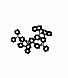 c1ccc(-c2c3ccccc3cc3c4c(-c5cccc(N(c6ccccc6)c6ccc(-c7c8ccccc8cc8c9ccc%10ccccc%10c9n(-c9ccccc9)c78)cc6)c5)cccc4n(-c4ccc(N(c5ccccc5)c5ccccc5)cc4)c23)cc1